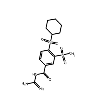 CS(=O)(=O)c1cc(C(=O)NC(=N)N)ccc1S(=O)(=O)C1CCCCC1